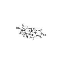 C[C@]12CCC3(O)[C@@H](CCC4=CC(=O)CC[C@@]43C)[C@@H]1CC[C@@H]2O